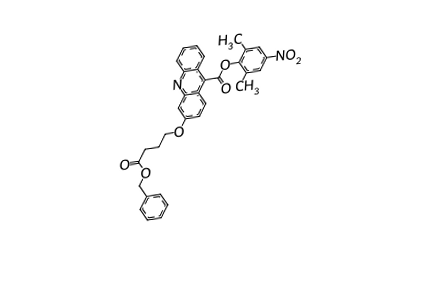 Cc1cc([N+](=O)[O-])cc(C)c1OC(=O)c1c2ccccc2nc2cc(OCCCC(=O)OCc3ccccc3)ccc12